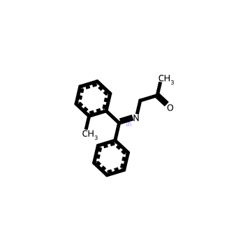 CC(=O)C/N=C(/c1ccccc1)c1ccccc1C